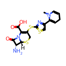 CN1C=CCC=C1c1csc(SC2=C(C(=O)O)N3C(=O)[C@@H](N)[C@H]3SC2)n1